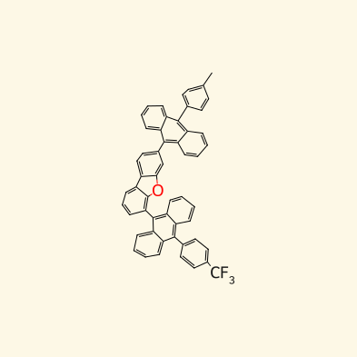 Cc1ccc(-c2c3ccccc3c(-c3ccc4c(c3)oc3c(-c5c6ccccc6c(-c6ccc(C(F)(F)F)cc6)c6ccccc56)cccc34)c3ccccc23)cc1